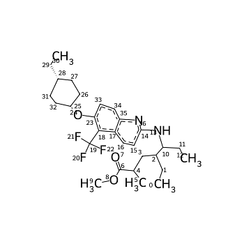 CCC(CC(C)C(=O)OC)C(CC)Nc1ccc2c(C(F)(F)F)c(O[C@H]3CC[C@@H](CC)CC3)ccc2n1